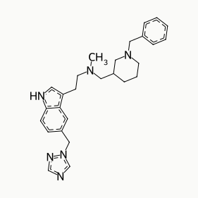 CN(CCc1c[nH]c2ccc(Cn3cncn3)cc12)CC1CCCN(Cc2ccccc2)C1